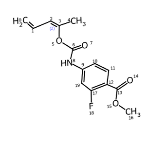 C=C/C=C(/C)OC(=O)Nc1ccc(C(=O)OC)c(F)c1